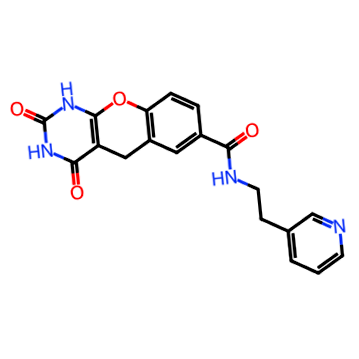 O=C(NCCc1cccnc1)c1ccc2c(c1)Cc1c([nH]c(=O)[nH]c1=O)O2